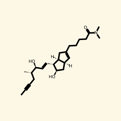 CC#CC[C@H](C)[C@@H](O)/C=C/[C@@H]1[C@H]2CC(CCCCC(=O)N(C)C)=C[C@H]2C[C@H]1O